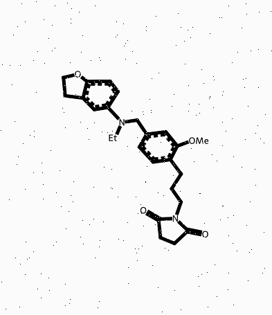 CCN(Cc1ccc(CCCN2C(=O)CCC2=O)c(OC)c1)c1ccc2c(c1)CCO2